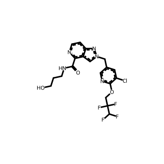 O=C(NCCCO)c1nccc2nn(Cc3cnc(OCC(F)(F)C(F)F)c(Cl)c3)cc12